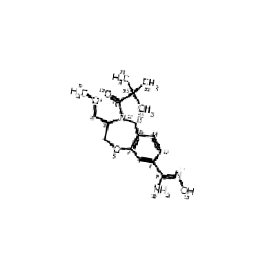 COCC1COc2cc(C(N)=NO)ccc2CN1C(=O)C(C)(C)C